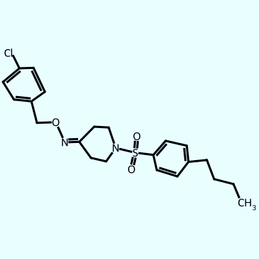 CCCCc1ccc(S(=O)(=O)N2CCC(=NOCc3ccc(Cl)cc3)CC2)cc1